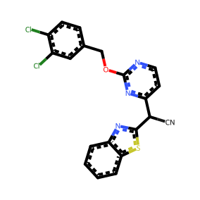 N#CC(c1ccnc(OCc2ccc(Cl)c(Cl)c2)n1)c1nc2ccccc2s1